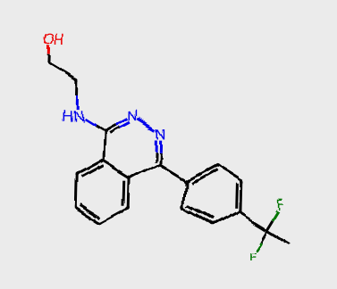 CC(F)(F)c1ccc(-c2nnc(NCCO)c3ccccc23)cc1